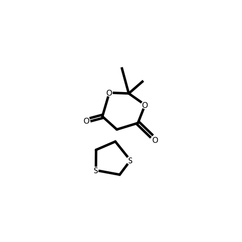 C1CSCS1.CC1(C)OC(=O)CC(=O)O1